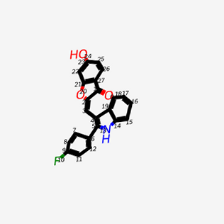 O=C1C(=Cc2c(-c3ccc(F)cc3)[nH]c3ccccc23)Oc2cc(O)ccc21